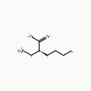 CCCC[C@@H](CN)C(=O)O